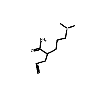 C=CCC(CCCN(C)C)C(N)=O